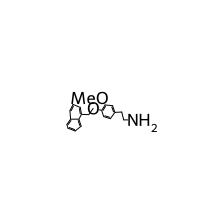 COc1cc(CCN)ccc1OCc1cccc2ccccc12